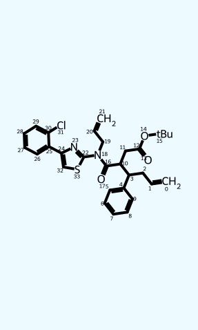 C=CCC(c1ccccc1)C(CC(=O)OC(C)(C)C)C(=O)N(CC=C)c1nc(-c2ccccc2Cl)cs1